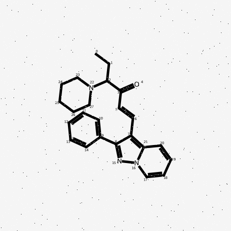 CCC(C(=O)C=Cc1c(-c2ccccc2)nn2ccccc12)N1CCCCC1